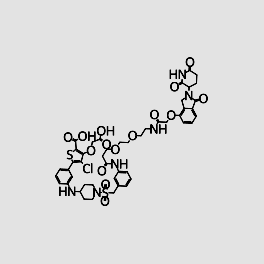 O=C(O)COc1c(C(=O)O)sc(-c2cccc(NC3CCN(S(=O)(=O)Cc4cccc(NC(=O)CCOCCOCCNC(=O)COc5cccc6c5CN(C5CCC(=O)NC5=O)C6=O)c4)CC3)c2)c1Cl